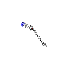 CCCCCCCCCCCCCCCOc1ccc(-c2ccc(C3N=NN=N3)cc2)cc1